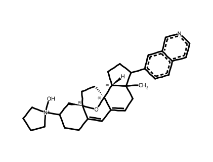 CC12CC=C3C=C4CCC([N+]5(O)CCCC5)C[C@]45CC[C@]3(O5)[C@@H]1CCC2c1ccc2ccncc2c1